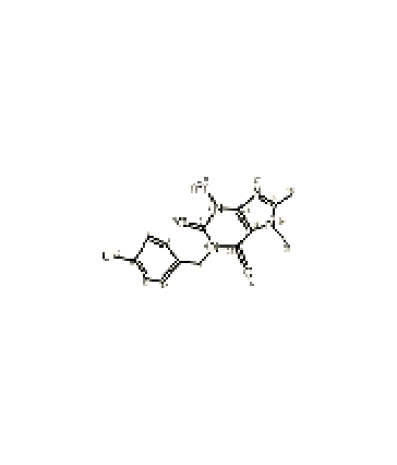 CCCn1c(=O)n(Cc2ccc(Cl)cc2)c(=O)c2c1nc(C)n2C